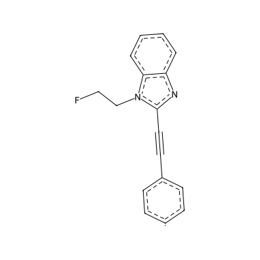 FCCn1c(C#Cc2cc[c]cc2)nc2ccccc21